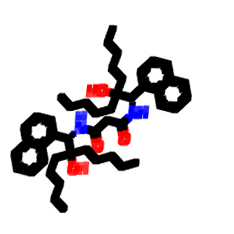 CCCCCC(O)(CCCCC)[C@@H](NC(=O)CC(=O)N[C@@H](c1cccc2ccccc12)C(O)(CCCCC)CCCCC)c1cccc2ccccc12